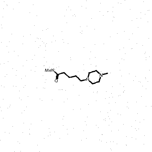 CNC(=O)CCCCN1CCN(C)CC1